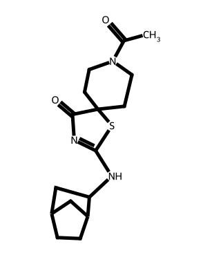 CC(=O)N1CCC2(CC1)SC(NC1CC3CCC1C3)=NC2=O